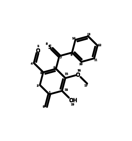 C=C1CC(C=O)=C(C(=S)c2ccccc2)C(OC)=C1O